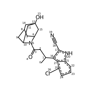 CC(CC(=O)N1C2CC3CC1CC(O)(C3)C2)c1c(C#N)[nH]c2cccc(Cl)c12